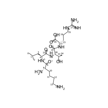 CC(C)C[C@H](NC(=O)[C@@H](N)CCCCN)C(=O)N[C@H](C(=O)N[C@@H](CCCNC(=N)N)C(=O)O)[C@@H](C)O